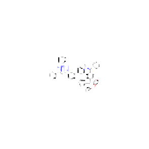 c1ccc(-c2cc(-c3cccc(-c4ccc5nc(-c6ccccc6)c6ccc7c(c6c5c4)-c4ccccc4C74c5ccccc5Oc5ccccc54)c3)nc(-c3ccccc3)n2)cc1